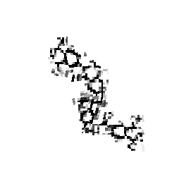 O=C(Nc1cc(C(c2ccc(O)c(NC(=O)c3ccc(C(=O)O)c(C(=O)O)c3)c2)(C(F)(F)F)C(F)(F)F)ccc1O)c1ccc(C(=O)O)c(C(=O)O)c1